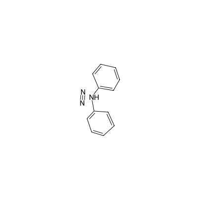 N#N.c1ccc(Nc2ccccc2)cc1